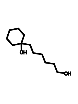 OCCCCCCC1(O)CCCCC1